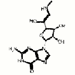 CNC=C(O)[C@H]1O[C@@H](n2cnc3c(=O)[nH]c(N)nc32)[C@H](O)[C@@H]1O